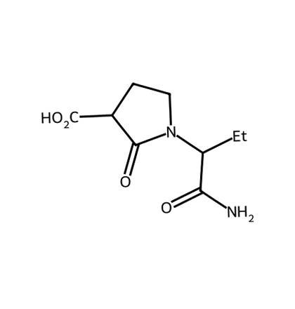 CCC(C(N)=O)N1CCC(C(=O)O)C1=O